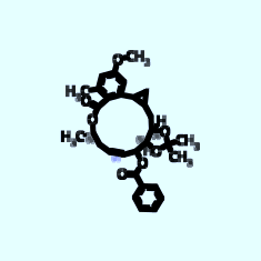 COc1cc(C)c2c(c1)C1CC1C[C@@H]1OC(C)(C)O[C@@H]1C(OC(=O)c1ccccc1)/C=C\C[C@H](C)OC2=O